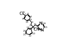 N#CC(CCc1ccc(Cl)cc1)(Cc1cnccn1)c1ccccc1